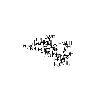 CC(C)[C@H](NC(=O)CNC(=O)[C@H](CC(N)=O)NC(=O)[C@H](CCC(=O)O)NC(=O)[C@H](CC(=O)O)NC(=O)[C@@H](N)CCCNC(=N)N)C(=O)N[C@@H](CCCNC(=N)N)C(=O)O